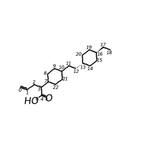 C=CCC(C(=O)O)C1CCC(CC[C@H]2CC[C@H](CC)CC2)CC1